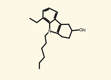 CCCCCCn1c2c(c3cccc(CC)c31)CC(O)CC2